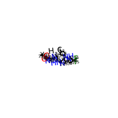 CC1CCC(Nc2cc(Nc3ccnc(-c4cnn(S(=O)(=O)C5CC5)c4)n3)ncc2-c2ccc(C(F)F)cn2)CC1